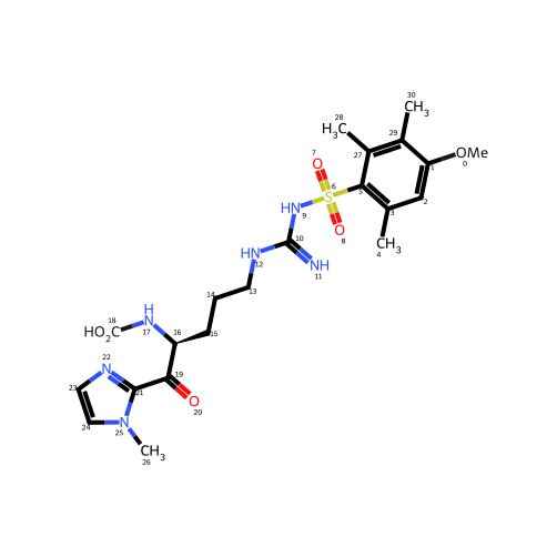 COc1cc(C)c(S(=O)(=O)NC(=N)NCCC[C@H](NC(=O)O)C(=O)c2nccn2C)c(C)c1C